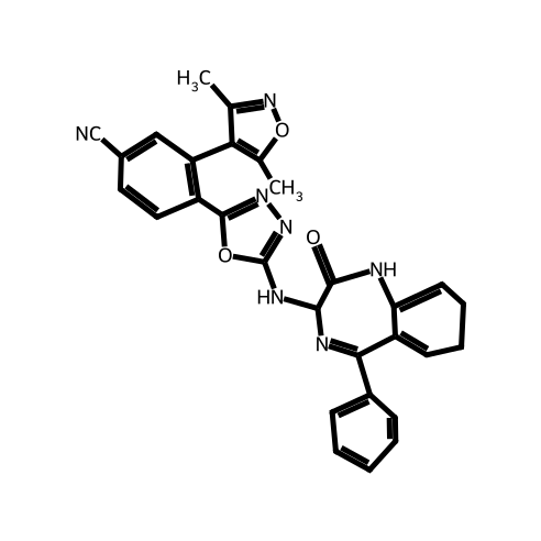 Cc1noc(C)c1-c1cc(C#N)ccc1-c1nnc(NC2N=C(c3ccccc3)C3=CCCC=C3NC2=O)o1